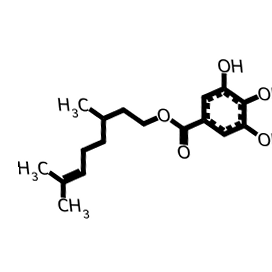 CC(C)=CCCC(C)CCOC(=O)c1cc(O)c(O)c(O)c1